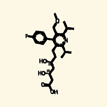 COCc1c(C(C)C)nc(C(C)C)c(CC[C@H](O)C[C@@H](O)CC(=O)O)c1-c1ccc(F)cc1